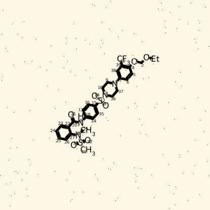 CCOCOc1ccc(N2CCN(S(=O)(=O)c3ccc(NC(=O)c4ccccc4N(C)S(C)(=O)=O)cc3)CC2)cc1C(F)(F)F